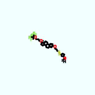 [2H]COC1CCC(SSCCCOc2ccc3c(c2)CCC2C3CC[C@@]3(C)C2CC[C@@H]3OCCCOC(C)(C(F)(F)F)C(F)(F)F)C1